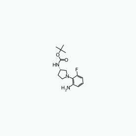 CC(C)(C)OC(=O)N[C@H]1CCN(c2c(N)cccc2F)C1